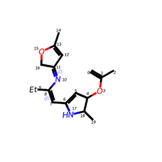 C=C(C)OC1C=C(/C=C(CC)\N=C2\C=C(C)OC2)NC1C